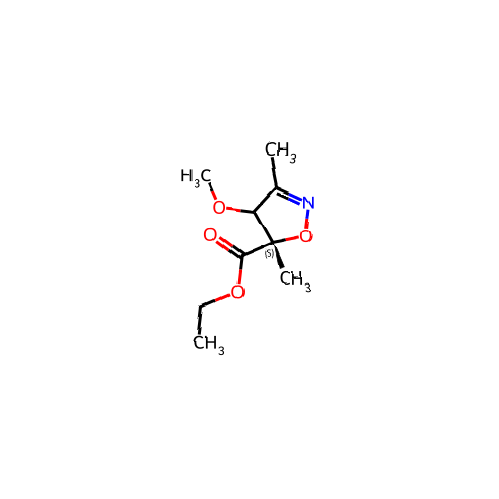 CCOC(=O)[C@@]1(C)ON=C(C)C1OC